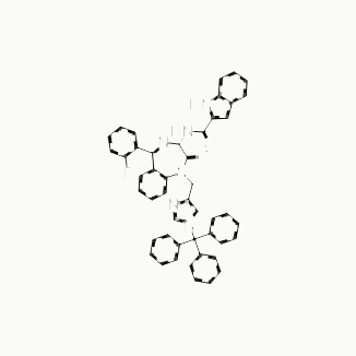 O=C(N[C@@H]1N=C(c2ccccc2F)c2ccccc2N(Cc2cn(C(c3ccccc3)(c3ccccc3)c3ccccc3)cn2)C1=O)c1cc2ccccc2[nH]1